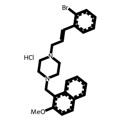 COc1ccc2ccccc2c1CN1CCN(C/C=C/c2ccccc2Br)CC1.Cl